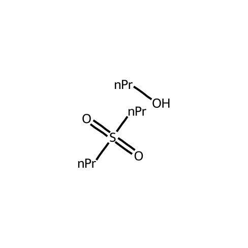 CCCO.CCCS(=O)(=O)CCC